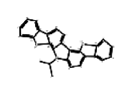 CC(C)n1c2ccc3c4ccccc4oc3c2c2ccc3c4ccccc4oc3c21